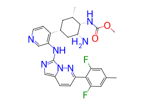 COC(=O)N[C@@H]1[C@H](N)C[C@H](c2ccncc2Nc2ncc3ccc(-c4c(F)cc(C)cc4F)nn23)C[C@@H]1C